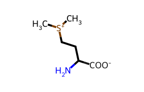 C[S+](C)CCC(N)C(=O)[O-]